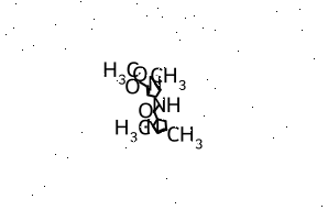 COC(=O)C1=CC(NC(=O)C2CC(C)=CN2C)CN1C